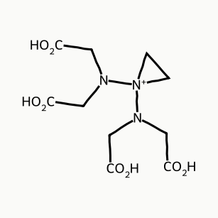 O=C(O)CN(CC(=O)O)[N+]1(N(CC(=O)O)CC(=O)O)CC1